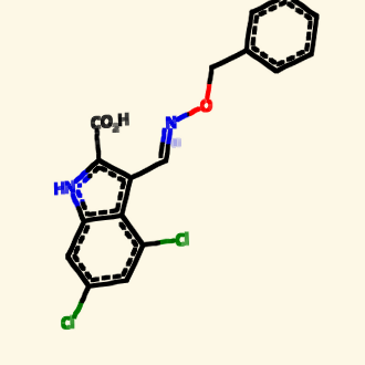 O=C(O)c1[nH]c2cc(Cl)cc(Cl)c2c1/C=N/OCc1ccccc1